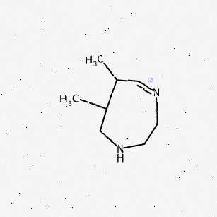 CC1/C=N\CCNCC1C